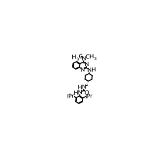 CC(C)c1cccc(C(C)C)c1NC(=O)NC[C@H]1CC[C@@H](Nc2nc(N(C)C)c3ccccc3n2)CC1